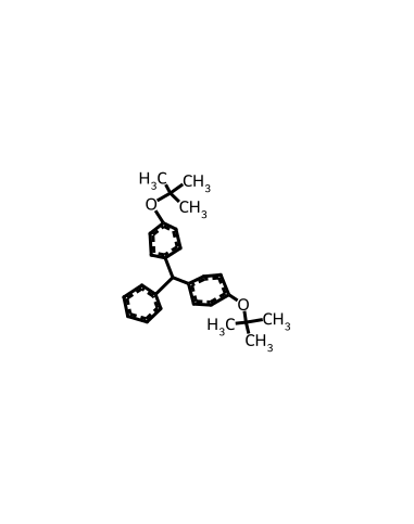 CC(C)(C)Oc1ccc(C(c2ccccc2)c2ccc(OC(C)(C)C)cc2)cc1